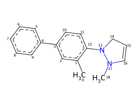 Cc1cc(-c2ccccc2)ccc1N1CC=CN1C